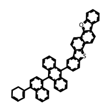 C1=CCCC(c2ccc(-c3c4ccccc4c(-c4ccc5sc6c(ccc7c6ccc6c8ccccc8oc67)c5c4)c4ccccc34)c3ccccc23)=C1